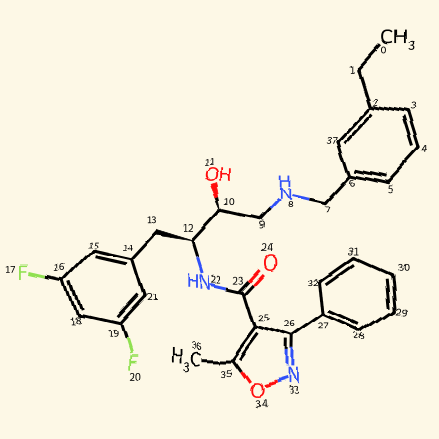 CCc1cccc(CNC[C@H](O)[C@H](Cc2cc(F)cc(F)c2)NC(=O)c2c(-c3ccccc3)noc2C)c1